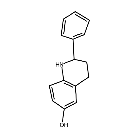 Oc1ccc2c(c1)CCC(c1ccccc1)N2